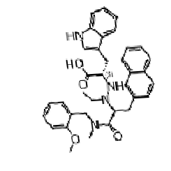 CCN(N[C@@H](Cc1c[nH]c2ccccc12)C(=O)O)C(Cc1ccc2ccccc2c1)C(=O)N(C)Cc1ccccc1OC